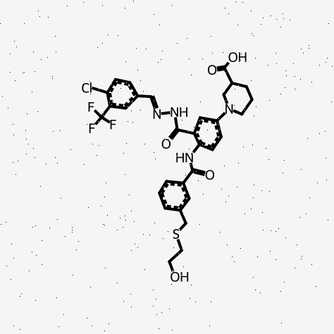 O=C(Nc1ccc(N2CCCC(C(=O)O)C2)cc1C(=O)NN=Cc1ccc(Cl)c(C(F)(F)F)c1)c1cccc(CSCCO)c1